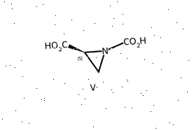 O=C(O)[C@@H]1CN1C(=O)O.[V]